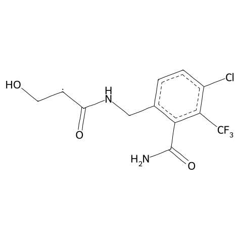 NC(=O)c1c(CNC(=O)[CH]CO)ccc(Cl)c1C(F)(F)F